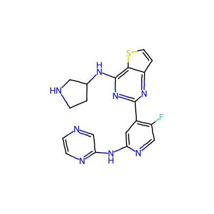 Fc1cnc(Nc2cnccn2)cc1-c1nc(NC2CCNC2)c2sccc2n1